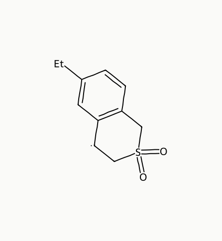 CCc1ccc2c(c1)[CH]CS(=O)(=O)C2